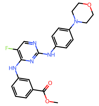 COC(=O)c1cccc(Nc2nc(Nc3ccc(N4CCOCC4)cc3)ncc2F)c1